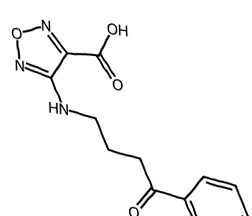 O=C(CCCNc1nonc1C(=O)O)c1ccccc1